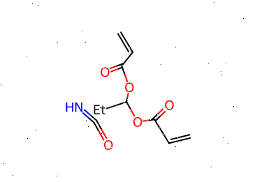 C=CC(=O)OC(CC)OC(=O)C=C.N=C=O